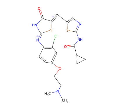 CN(C)CCOc1ccc(/N=C2/NC(=O)/C(=C/c3cnc(NC(=O)C4CC4)s3)S2)c(Cl)c1